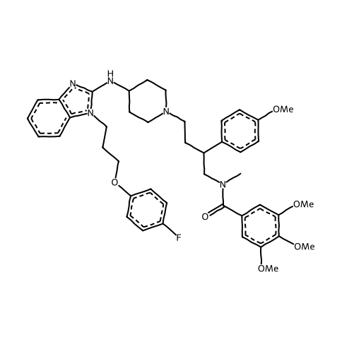 COc1ccc(C(CCN2CCC(Nc3nc4ccccc4n3CCCOc3ccc(F)cc3)CC2)CN(C)C(=O)c2cc(OC)c(OC)c(OC)c2)cc1